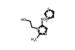 Cc1ncc([N+](=O)[O-])n1CCO.c1cscn1